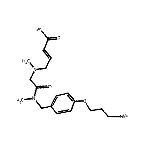 CNCCCOc1ccc(CN(C)C(=O)CN(C)C/C=C/C(=O)C(C)C)cc1